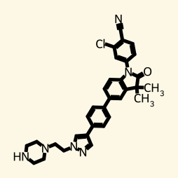 CC1(C)C(=O)N(c2ccc(C#N)c(Cl)c2)c2ccc(-c3ccc(-c4cnn(CCN5CCNCC5)c4)cc3)cc21